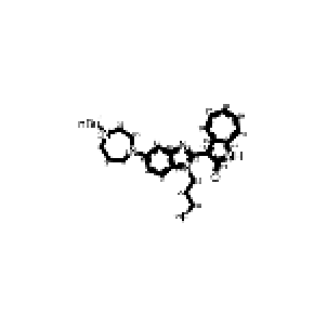 CCCCN1CCCN(c2ccc3c(c2)nc(-c2c4cccccc-4[nH]c2=O)n3CCCF)CC1